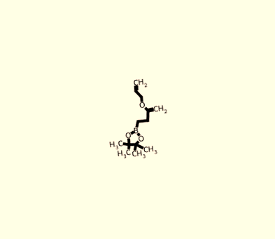 C=CCOC(=C)CCB1OC(C)(C)C(C)(C)O1